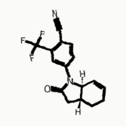 N#Cc1ccc(N2C(=O)C[C@H]3CCC=C[C@@H]32)cc1C(F)(F)F